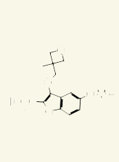 COc1ccc2oc(C(=O)O)c(OCC3(C)COC3)c2c1